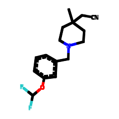 CC1(CC#N)CCN(Cc2cccc(OC(F)F)c2)CC1